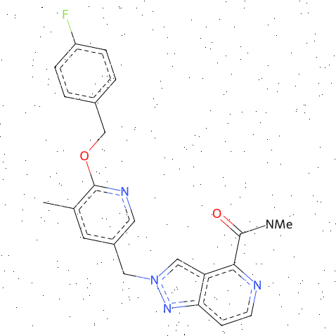 CNC(=O)c1nccc2nn(Cc3cnc(OCc4ccc(F)cc4)c(C)c3)cc12